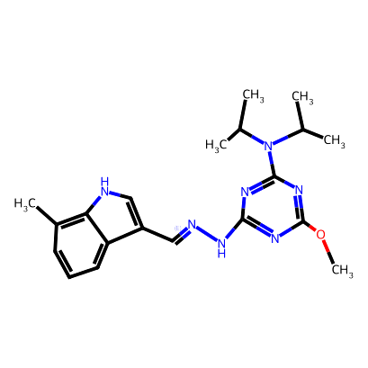 COc1nc(N/N=C/c2c[nH]c3c(C)cccc23)nc(N(C(C)C)C(C)C)n1